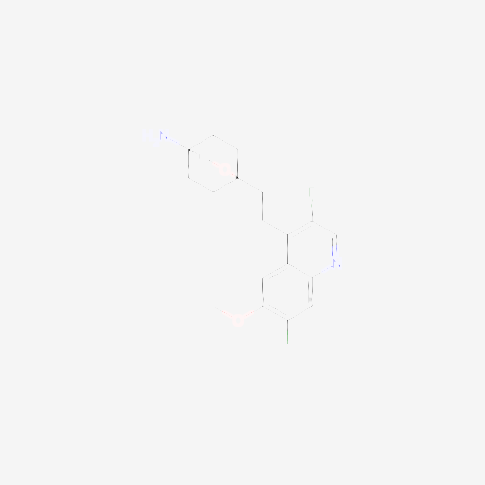 COc1cc2c(CCC34CCC(N)(CC3)CO4)c(F)cnc2cc1F